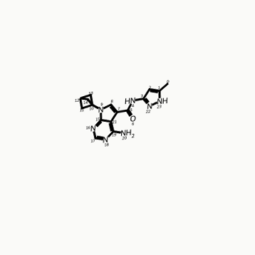 Cc1cc(NC(=O)c2cn(C34CC(C3)C4)c3ncnc(N)c23)n[nH]1